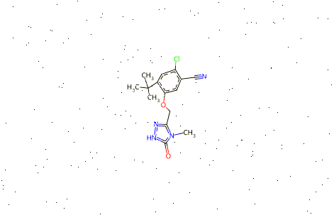 Cn1c(COc2cc(C#N)c(Cl)cc2C(C)(C)C)n[nH]c1=O